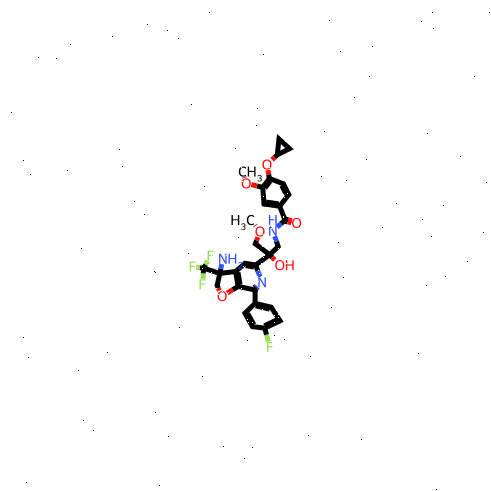 COCC(O)(CNC(=O)c1ccc(OC2CC2)c(OC)c1)c1cc2c(c(-c3ccc(F)cc3)n1)OCC2(N)C(F)(F)F